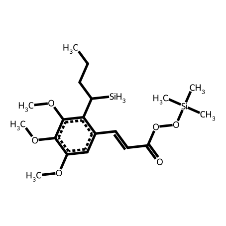 CCCC([SiH3])c1c(C=CC(=O)OO[Si](C)(C)C)cc(OC)c(OC)c1OC